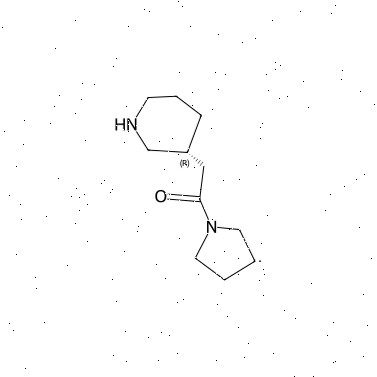 O=C(C[C@H]1CCCNC1)N1C[CH]CC1